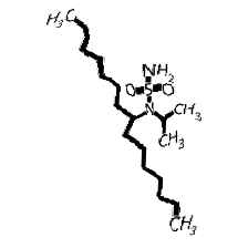 CCCCCCCC(CCCCCCC)N(C(C)C)S(N)(=O)=O